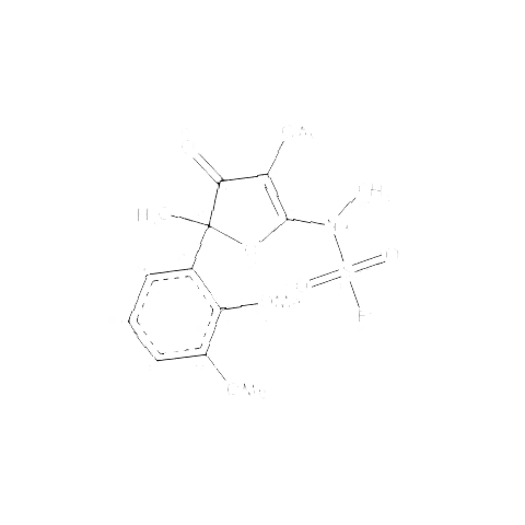 CCS(=O)(=O)N(C)C1=C(OC(C)=O)C(=O)C(C)(c2cccc(OC)c2OC)O1